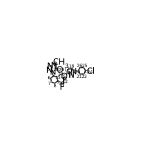 Cn1nnn(-c2cccc(C(F)F)c2COc2ccn(-c3ccc(Cl)cc3)n2)c1=O